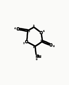 CCC(C)C1OC(=O)COC1=O